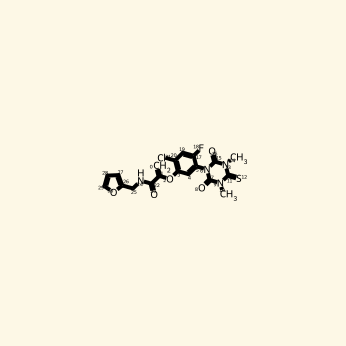 C=C(Oc1cc(-n2c(=O)n(C)c(=S)n(C)c2=O)c(F)cc1Cl)C(=O)NCc1ccco1